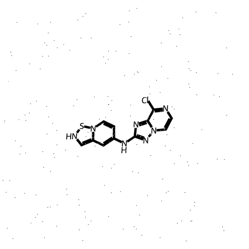 Clc1nccn2nc(NC3=CC4=CNSN4C=C3)nc12